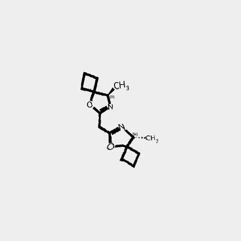 C[C@H]1N=C(CC2=N[C@H](C)C3(CCC3)O2)OC12CCC2